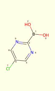 OB(O)c1ncc(Cl)cn1